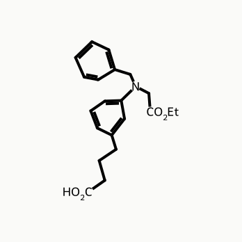 CCOC(=O)CN(Cc1ccccc1)c1cccc(CCCC(=O)O)c1